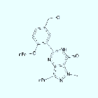 CCCOc1ccc(CCl)cc1-c1nc2c(CCC)nn(C)c2c(=O)[nH]1